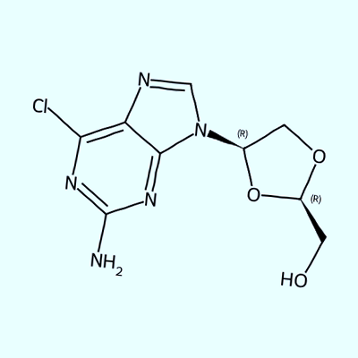 Nc1nc(Cl)c2ncn([C@H]3CO[C@@H](CO)O3)c2n1